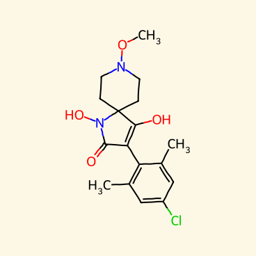 CON1CCC2(CC1)C(O)=C(c1c(C)cc(Cl)cc1C)C(=O)N2O